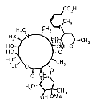 CC[C@H]1OC(=O)[C@H](C)[C@@H](O[C@H]2C[C@@](C)(OC)[C@@H](O)[C@H](C)O2)[C@H](C)[C@@H](O[C@@H]2O[C@H](C)C[C@H](N(C)C/C=C\CC(=O)O)[C@H]2O)[C@](C)(O)C[C@@H](C)CN(C)[C@H](C)[C@@H](O)[C@]1(C)O